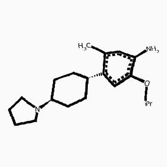 Cc1cc(N)c(OC(C)C)cc1[C@H]1CC[C@H](N2CCCC2)CC1